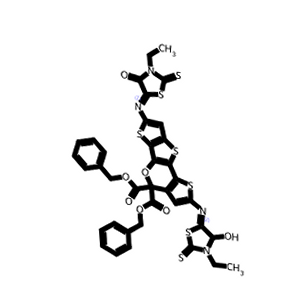 CCN1C(=O)/C(=N/c2cc3sc4c(c3s2)OC(C(=O)OCc2ccccc2)(C(=O)OCc2ccccc2)c2cc(/N=C3\SC(=S)N(CC)C3O)sc2-4)SC1=S